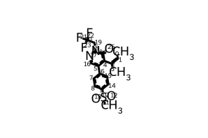 C/C=C(/C)c1c(-c2ccc(S(C)(=O)=O)cc2)cnn(CC(F)(F)F)c1=O